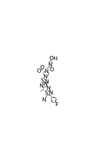 CCC1N=C2SC(N3CCN(CC(=O)N4CC(O)C4)[C@@H](C(=O)OC)C3)=NN2C1N(C)c1nc(-c2ccc(F)cc2)c(C#N)s1